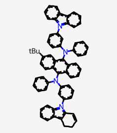 CC(C)(C)c1ccc2c(N(c3ccccc3)c3cccc(-n4c5c(c6ccccc64)CCC=C5)c3)c3ccccc3c(N(c3ccccc3)c3cccc(-n4c5ccccc5c5ccccc54)c3)c2c1